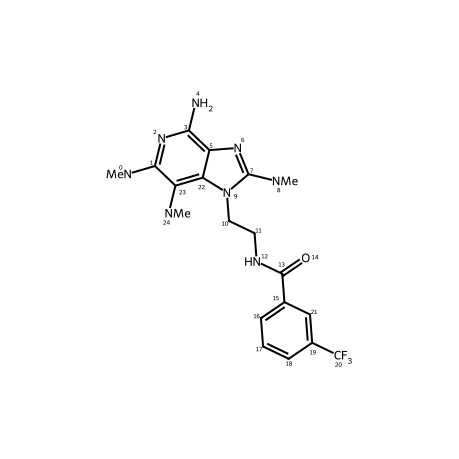 CNc1nc(N)c2nc(NC)n(CCNC(=O)c3cccc(C(F)(F)F)c3)c2c1NC